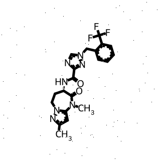 Cc1cc2n(n1)CC[C@H](NC(=O)c1ncn(Cc3ccccc3C(F)(F)F)n1)C(=O)N2C